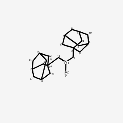 CCN(CC12CC3CC(CC(C3)C1)C2)CC12CC3CC(CC(C3)C1)C2